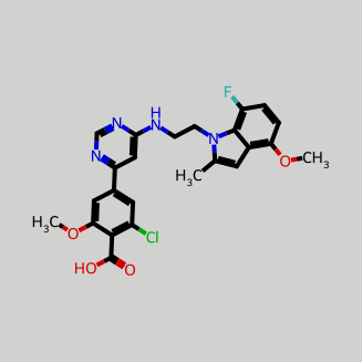 COc1cc(-c2cc(NCCn3c(C)cc4c(OC)ccc(F)c43)ncn2)cc(Cl)c1C(=O)O